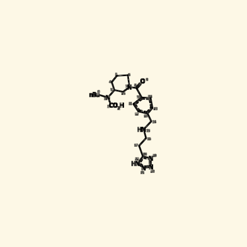 CCCCN(C(=O)O)C1CCCN(C(=O)c2ccc(CNCCc3nnn[nH]3)cc2)C1